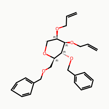 C=CCO[C@H]1[C@H](OCc2ccccc2)[C@@H](COCc2ccccc2)O[CH][C@H]1OCC=C